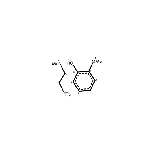 CNCCN.COc1ccccc1O